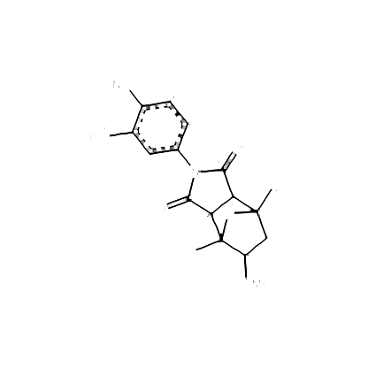 COC1CC2(C)OC1(C)C1C(=O)N(c3ccc(C#N)c(C(F)(F)F)c3)C(=O)C12